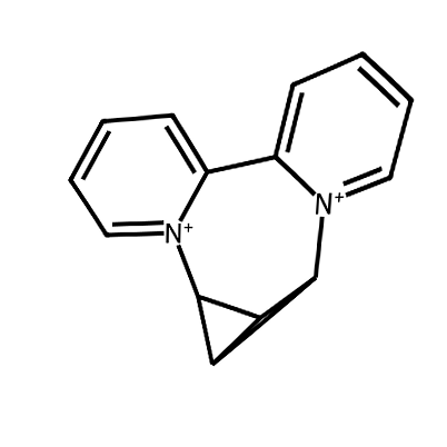 c1cc[n+]2c(c1)-c1cccc[n+]1C1C3C1C32